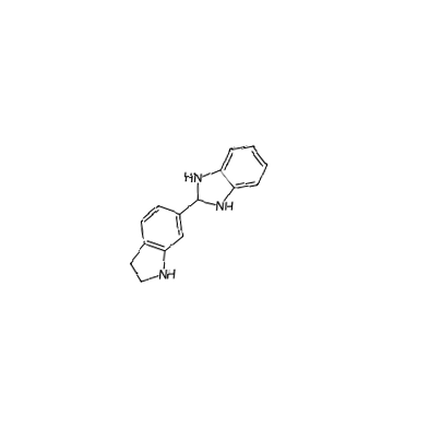 c1ccc2c(c1)NC(c1ccc3c(c1)NCC3)N2